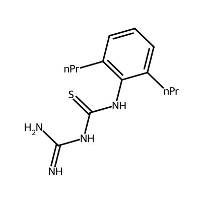 CCCc1cccc(CCC)c1NC(=S)NC(=N)N